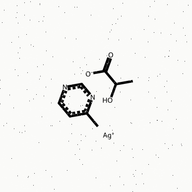 CC(O)C(=O)[O-].Cc1ccncn1.[Ag+]